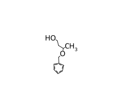 CC(CCO)OCc1ccccc1